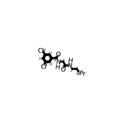 CC(C)C[CH]NC(=O)CNC(=O)c1cc(Cl)cc(Cl)c1